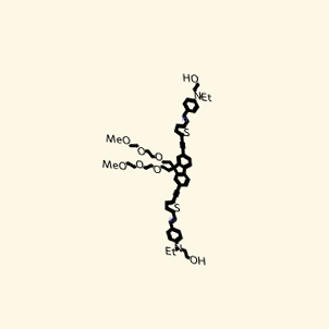 CCN(CCO)c1ccc(/C=C/c2ccc(C#Cc3ccc4c(c3)C(CCOCCOCCOC)(CCOCCOCCOC)c3cc(C#Cc5ccc(/C=C/c6ccc(N(CC)CCO)cc6)s5)ccc3-4)s2)cc1